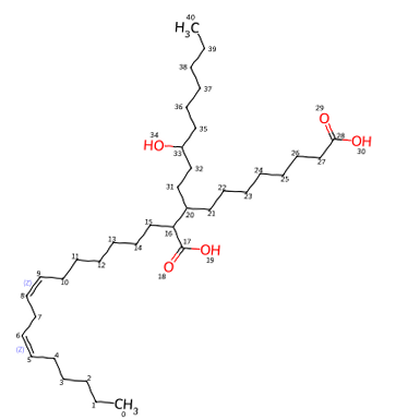 CCCCC/C=C\C/C=C\CCCCCCC(C(=O)O)C(CCCCCCCC(=O)O)CCC(O)CCCCCC